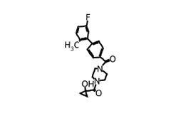 Cc1ccc(F)cc1-c1ccc(C(=O)N2CCN(C(=O)C3(O)CC3)CC2)cc1